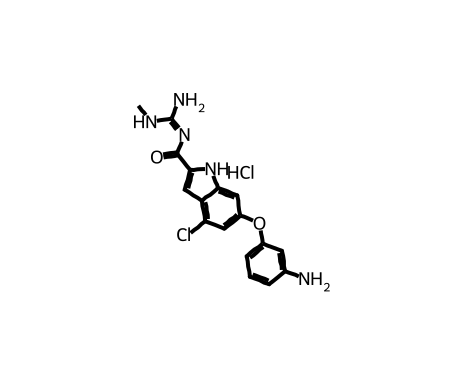 CNC(N)=NC(=O)c1cc2c(Cl)cc(Oc3cccc(N)c3)cc2[nH]1.Cl